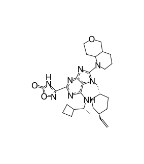 C=C[C@H]1CC[C@H](Cn2c(N3CCCC4COCCC43)nc3nc(-c4noc(=O)[nH]4)nc(N[C@H](C)C4CCC4)c32)CC1